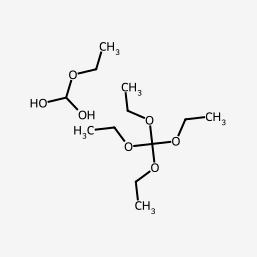 CCOC(O)O.CCOC(OCC)(OCC)OCC